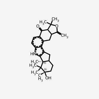 C=C1OC(C)(C)C2C(=O)c3ccc4[nH]c5c(c4c3CC12)CC1CC[C@](C)(O)C(C)(C)[C@@]51C